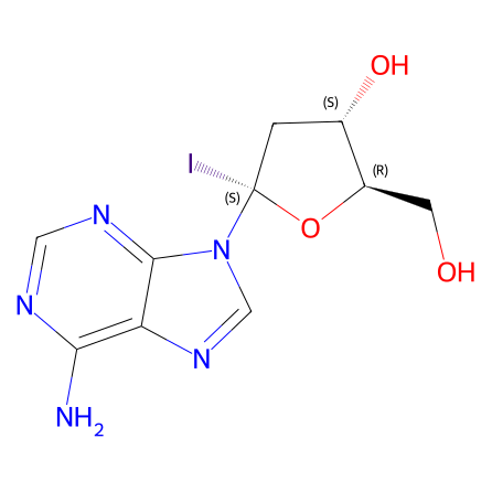 Nc1ncnc2c1ncn2[C@@]1(I)C[C@H](O)[C@@H](CO)O1